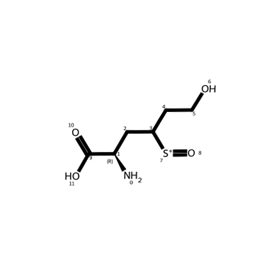 N[C@H](CC(CCO)[S+]=O)C(=O)O